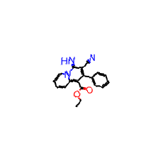 CCOC(=O)c1c(-c2ccccc2)c(C#N)c(=N)n2ccccc12